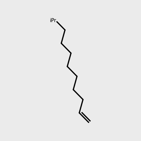 C=CCCCCCCCC(C)C